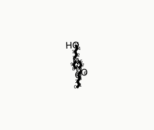 CCCCOC(=O)N1CCN(CCCCO)CC1